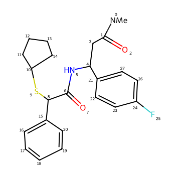 CNC(=O)CC(NC(=O)C(SC1CCCC1)c1ccccc1)c1ccc(F)cc1